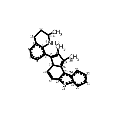 CC1=C(c2cccc3c2NC(C)CC3)C2C=Cc3sc4ccccc4c3C2=C1C